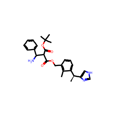 Cc1c(COC(=O)C(C(=O)OC(C)(C)C)C(N)c2ccccc2)cccc1[C@H](C)c1c[nH]cn1